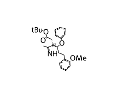 COc1ccccc1CCC(Oc1ccccc1)[C@@H](CC(=O)OC(C)(C)C)C(C)=N